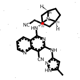 Cc1cc(Nc2nc(N[C@@H]3C[C@H]4CC[C@@H](C3)N4CCC#N)c3cccnc3c2C#N)n[nH]1